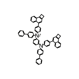 C[N+](c1ccc(-c2ccccc2)cc1)(c1ccc(-c2cc3c(c4ccccc24)CC3)cc1)c1cccc(N(c2ccc(-c3ccccc3)cc2)c2ccc(-c3cc4c(c5ccccc35)CC4)cc2)c1